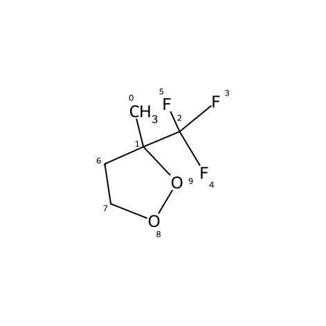 CC1(C(F)(F)F)CCOO1